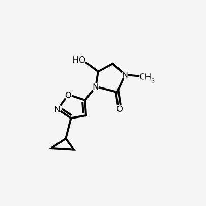 CN1CC(O)N(c2cc(C3CC3)no2)C1=O